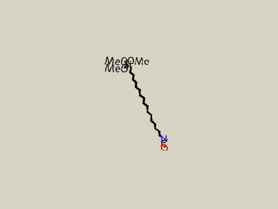 CO[Si](CCCCCCCCCCCCCCCCCCN=C=O)(OC)OC